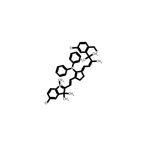 C/C(=C/C=C1\CCC(/C=C/C2=[N+](C)c3ccc(Cl)cc3C2(C)C)=C1N(c1ccccc1)c1ccccc1)C(C)(C)c1cc(Cl)ccc1CI